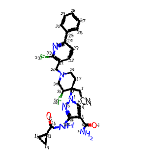 N#CCC1(n2cc(C(N)=O)c(NC(=O)C3CC3)n2)CCN(Cc2ccc(-c3ccccc3)nc2F)CC1F